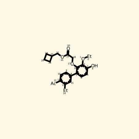 CCOc1c(O)ccc(-c2ccc(C(C)=O)c(CC)c2)c1OCC(=O)OCC1CCC1